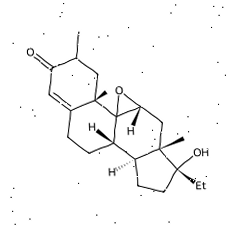 CC[C@@]1(O)CC[C@H]2[C@@H]3CCC4=CC(=O)C(C)C[C@]4(C)C34O[C@@H]4C[C@@]21C